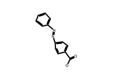 [O]C(=O)c1ccc(/N=N/c2ccccc2)cc1